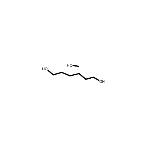 CO.OCCCCCCO